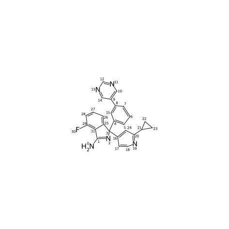 NC1=NC(c2cccc(-c3cncnc3)c2)(c2ccnc(C3CC3)c2)c2cccc(F)c21